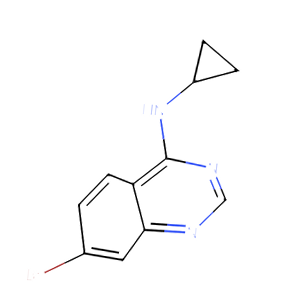 Brc1ccc2c(NC3CC3)ncnc2c1